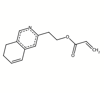 C=CC(=O)OCCc1cc2c(cn1)CCC=C2